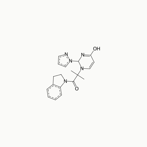 CC(C)(C(=O)N1CCc2ccccc21)N1C=CC(O)=NC1n1cccn1